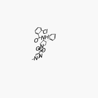 Cn1cnc(S(=O)(=O)N2C[C@@H](NC(=O)c3ccccc3Cl)[C@H](c3ccccc3)C2)c1